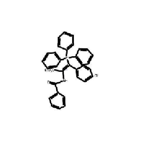 CCOC(=O)/C(NC(=O)c1ccccc1)=C(/c1ccccc1)[P+](c1ccccc1)(c1ccccc1)c1ccccc1.[Cl-]